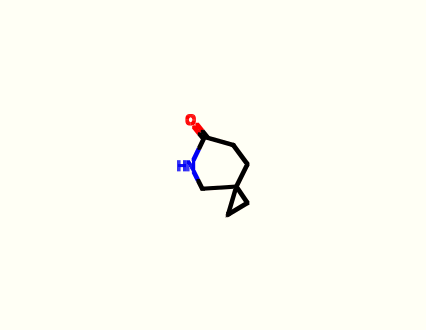 O=C1CCC2(CC2)CN1